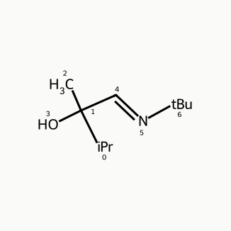 CC(C)C(C)(O)/C=N/C(C)(C)C